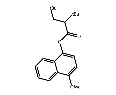 COc1ccc(OC(=O)C(CC(C)(C)C)C(C)(C)C)c2ccccc12